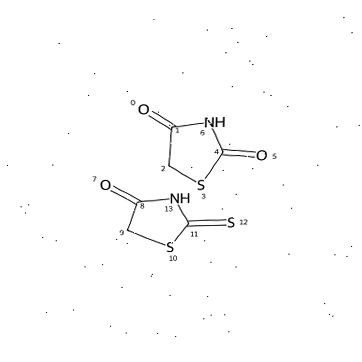 O=C1CSC(=O)N1.O=C1CSC(=S)N1